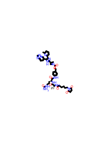 Cc1cccc(-c2nc(C3CN(C(=O)OCc4ccc(NC(=O)[C@H](CCCNC(N)=O)NC(=O)C(NC(=O)CCCCCN5C(=O)C=CC5=O)C(C)C)cc4)C3)[nH]c2-c2ccc3ncnn3c2)n1